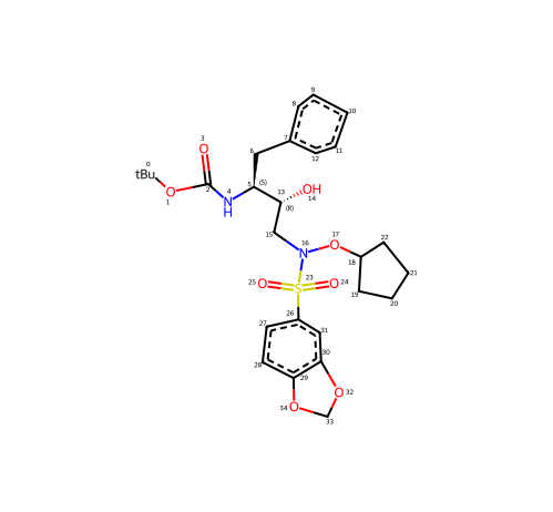 CC(C)(C)OC(=O)N[C@@H](Cc1ccccc1)[C@H](O)CN(OC1CCCC1)S(=O)(=O)c1ccc2c(c1)OCO2